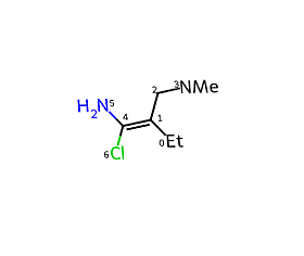 CC/C(CNC)=C(/N)Cl